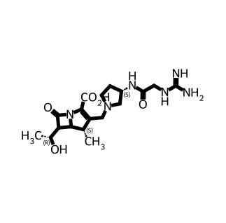 C[C@@H](O)C1C(=O)N2C(C(=O)O)=C(CN3CC[C@H](NC(=O)CNC(=N)N)C3)[C@H](C)C12